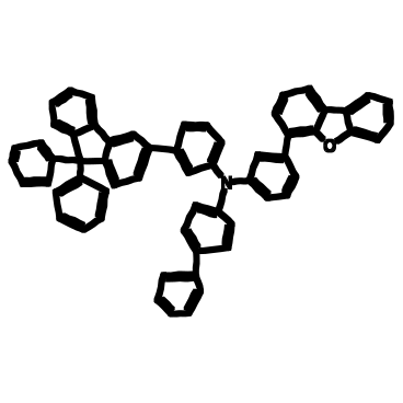 c1ccc(-c2ccc(N(c3cccc(-c4ccc5c(c4)-c4ccccc4C5(c4ccccc4)c4ccccc4)c3)c3cccc(-c4cccc5c4oc4ccccc45)c3)cc2)cc1